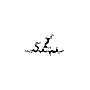 COCCN(CCOC)CC(COC(=O)/C=C/C(=O)OC(C)C)OC(=N)/C=C/C(=O)OC(C)C